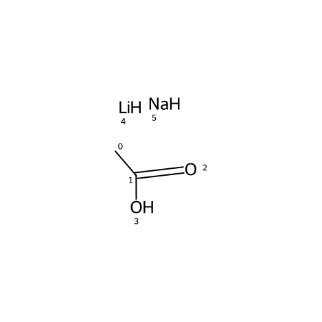 CC(=O)O.[LiH].[NaH]